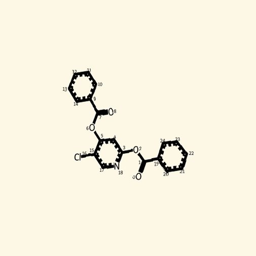 O=C(Oc1cc(OC(=O)c2ccccc2)c(Cl)cn1)c1ccccc1